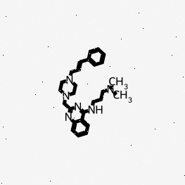 CN(C)CCCNc1nc(CN2CCN(C/C=C/c3ccccc3)CC2)nc2ccccc12